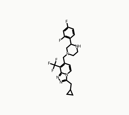 Fc1ccc(C2CN(Cc3ccn4c(CC5CC5)nnc4c3C(F)(F)F)CCN2)c(F)c1